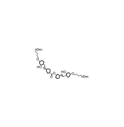 CCCCCCCCCCCCCCOc1ccc(C=Nc2ccc(C(=O)Oc3cccc(N=Cc4ccc(OCCCCCCCCCCCCCC)cc4O)c3)cc2)c(O)c1